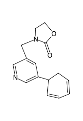 O=C1OCCN1Cc1cncc(C2C=CC=CC2)c1